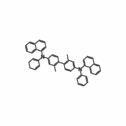 Cc1cc(N(C2=CCCC=C2)c2cccc3ccccc23)ccc1-c1ccc(N(c2ccccc2)c2cccc3ccccc23)cc1C